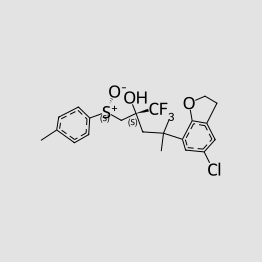 Cc1ccc([S@+]([O-])C[C@](O)(CC(C)(C)c2cc(Cl)cc3c2OCC3)C(F)(F)F)cc1